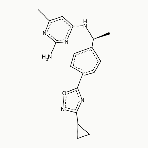 Cc1cc(N[C@@H](C)c2ccc(-c3nc(C4CC4)no3)cc2)nc(N)n1